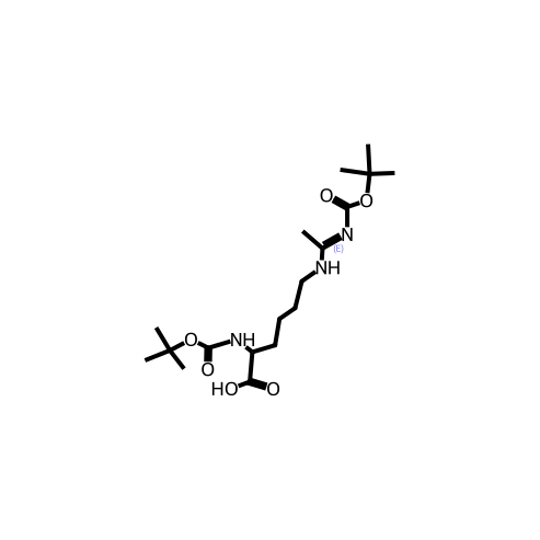 C/C(=N\C(=O)OC(C)(C)C)NCCCCC(NC(=O)OC(C)(C)C)C(=O)O